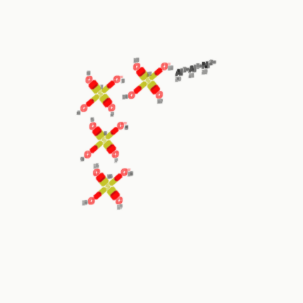 O=S(=O)([O-])[O-].O=S(=O)([O-])[O-].O=S(=O)([O-])[O-].O=S(=O)([O-])[O-].[Al+3].[Al+3].[Ni+2]